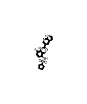 O=C(Nc1c(F)ccc(NS(=O)(=O)C2CCCC2)c1F)c1cnc2[nH]ccc2c1